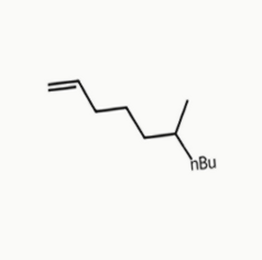 [CH2]CCCC(C)CCCC=C